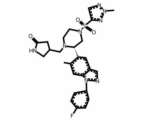 Cc1cc2c(cnn2-c2ccc(F)cc2)cc1[C@H]1CN(S(=O)(=O)c2cnn(C)n2)CCN1CC1CNC(=O)C1